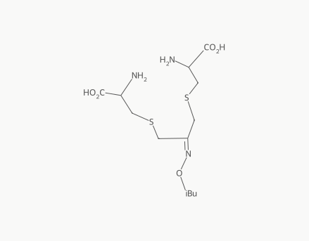 CCC(C)ON=C(CSCC(N)C(=O)O)CSCC(N)C(=O)O